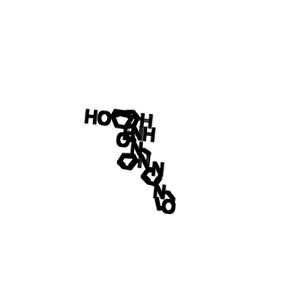 O=C(NC1[C@@H]2CC3C[C@H]1CC(O)(C3)C2)N1CCN(c2ccc(N3CCOCC3)cn2)c2ccccc21